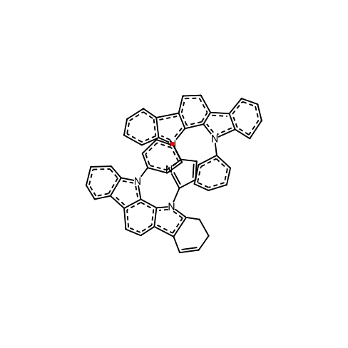 C1=Cc2c(n(C3=NC(n4c5ccccc5c5ccc6c7ccccc7n(-c7ccccc7)c6c54)C=C3)c3c2ccc2c4ccccc4n(-c4ccccc4)c23)CC1